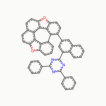 c1ccc(-c2nc(-c3ccccc3)nc(-c3cc(-c4ccc5oc6ccc7ccc8oc9cccc%10c9c8c7c6c5c4-%10)cc4ccccc34)n2)cc1